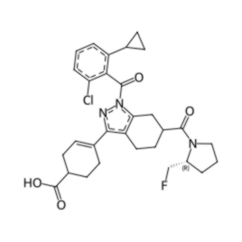 O=C(O)C1CC=C(c2nn(C(=O)c3c(Cl)cccc3C3CC3)c3c2CCC(C(=O)N2CCC[C@@H]2CF)C3)CC1